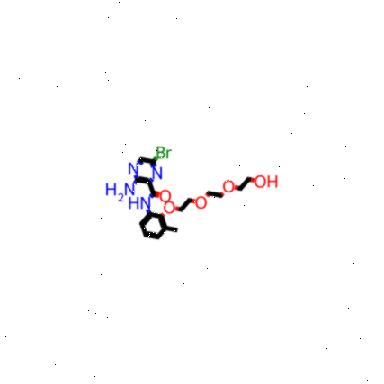 Cc1cccc(NC(=O)c2nc(Br)cnc2N)c1OCCOCCOCCO